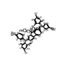 CCCCCCCCC1(CCCCCCCC)c2cc(N(c3ccc(Br)cc3)c3c(C)cc(C)cc3C)ccc2-c2ccc(N(c3ccc(Br)cc3)c3c(C)cc(C)cc3C)cc21